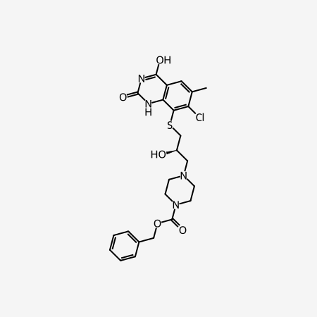 Cc1cc2c(O)nc(=O)[nH]c2c(SC[C@H](O)CN2CCN(C(=O)OCc3ccccc3)CC2)c1Cl